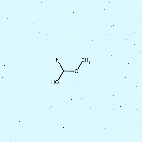 COC(O)F